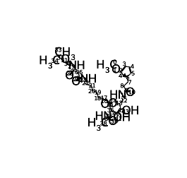 COc1cccc(CCC(=O)NCC2OC(OCCCCCCNC(=O)CC(=O)NCOC(C)C)C(NC(C)=O)C(O)C2O)c1